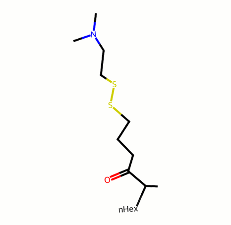 CCCCCCC(C)C(=O)CCCSSCCN(C)C